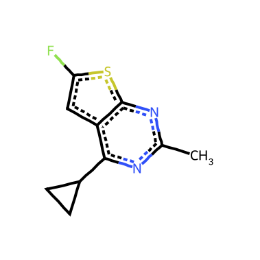 Cc1nc(C2CC2)c2cc(F)sc2n1